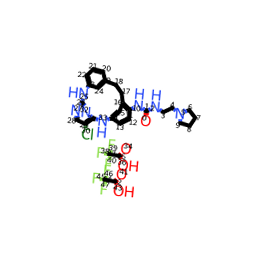 O=C(NCCN1CCCC1)Nc1ccc2cc1CCc1cccc(c1)Nc1ncc(Cl)c(n1)N2.O=C(O)C(F)(F)F.O=C(O)C(F)(F)F